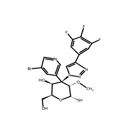 CO[C@@H]1[C@H](S)O[C@@H](CO)[C@@H](O)[C@@]1(c1cncc(Br)c1)n1cc(-c2cc(F)c(F)c(F)c2)nn1